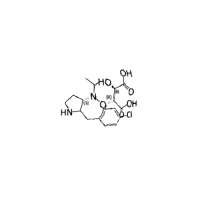 CC(C)N(O[C@@H](C(=O)O)[C@@H](O)C(=O)O)[C@H]1CCNC1Cc1ccc(Cl)cc1